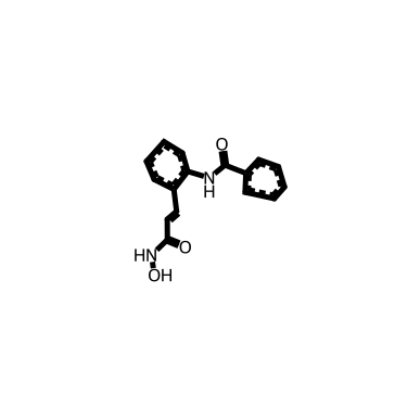 O=C(/C=C/c1ccccc1NC(=O)c1ccccc1)NO